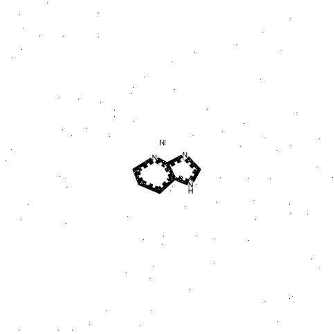 [N].c1cnc2nc[nH]c2c1